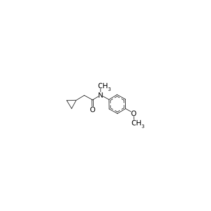 COc1ccc(N(C)C(=O)CC2CC2)cc1